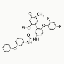 CCOc1cc(=O)n(C)cc1-c1cc(NC(=O)Nc2cccc(Oc3ccccc3)c2)ccc1Oc1ccc(F)cc1F